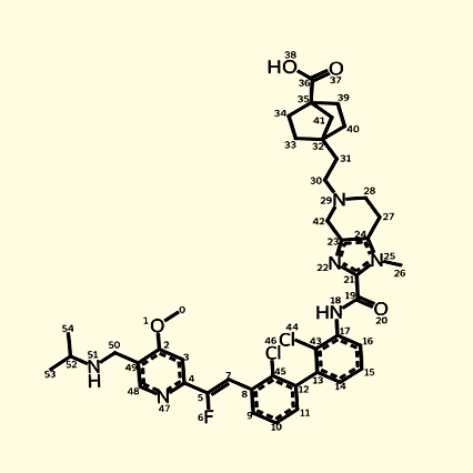 COc1cc(/C(F)=C/c2cccc(-c3cccc(NC(=O)c4nc5c(n4C)CCN(CCC46CCC(C(=O)O)(CC4)C6)C5)c3Cl)c2Cl)ncc1CNC(C)C